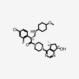 COC1CCC(NC[C@@H](C(=O)N2CCN(c3ncnc4c3[C@H](C)C[C@H]4O)CC2)c2ccc(Cl)cc2F)CC1